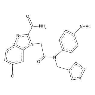 CC(=O)Nc1ccc(N(Cc2ccsc2)C(=O)Cn2c(C(N)=O)nc3ccc(Cl)cc32)cc1